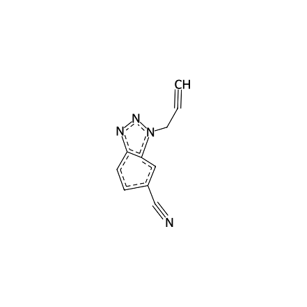 C#CCn1nnc2ccc(C#N)cc21